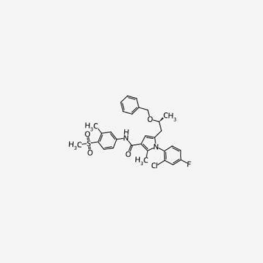 Cc1cc(NC(=O)c2cc(C[C@H](C)OCc3ccccc3)n(-c3ccc(F)cc3Cl)c2C)ccc1S(C)(=O)=O